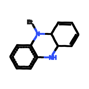 CCN1c2ccccc2NC2C=CC=CC21